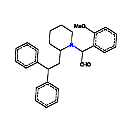 COc1ccccc1C(C=O)N1CCCCC1CC(c1ccccc1)c1ccccc1